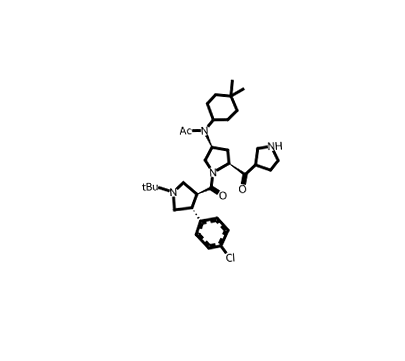 CC(=O)N(C1CCC(C)(C)CC1)[C@H]1C[C@@H](C(=O)C2CCNC2)N(C(=O)[C@@H]2CN(C(C)(C)C)C[C@H]2c2ccc(Cl)cc2)C1